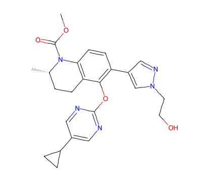 COC(=O)N1c2ccc(-c3cnn(CCO)c3)c(Oc3ncc(C4CC4)cn3)c2CC[C@@H]1C